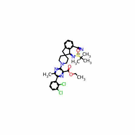 CCOC(=O)c1nc(-c2cccc(Cl)c2Cl)c(C)nc1N1CCC2(CC1)Cc1cccc(C#N)c1C2=N[S@+]([O-])C(C)(C)C